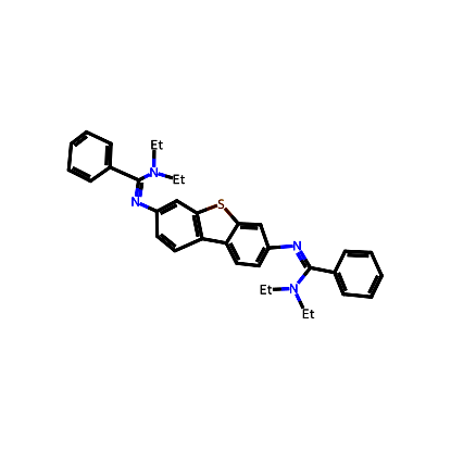 CCN(CC)C(=Nc1ccc2c(c1)sc1cc(N=C(c3ccccc3)N(CC)CC)ccc12)c1ccccc1